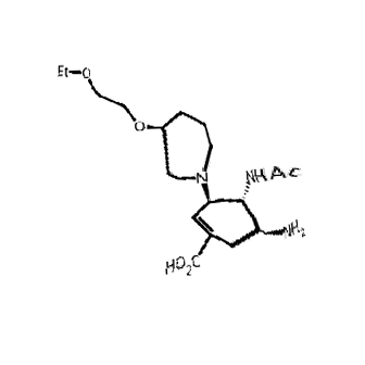 CCOCCO[C@H]1CCCN([C@@H]2C=C(C(=O)O)C[C@H](N)[C@H]2NC(C)=O)C1